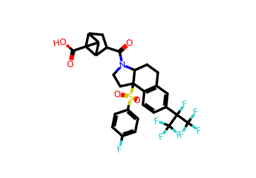 O=C(C1CC2C3C1C23C(=O)O)N1CCC2(S(=O)(=O)c3ccc(F)cc3)c3ccc(C(F)(C(F)(F)F)C(F)(F)F)cc3CCC12